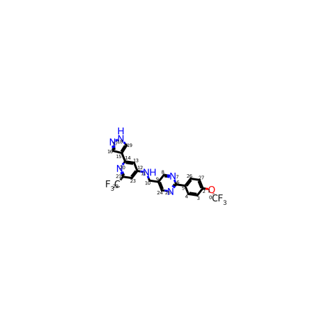 FC(F)(F)Oc1ccc(-c2ncc(CNc3cc(-c4cn[nH]c4)nc(C(F)(F)F)c3)cn2)cc1